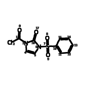 O=C(Cl)n1ccn(S(=O)(=O)c2ccccc2)c1=O